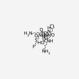 NCCCC[C@H](NC(=O)CNC(=O)[C@H](Cc1ccccc1)NC(=O)CNC(=O)[C@H](CCCCN)NC(=O)CSCCCF)C(=O)O